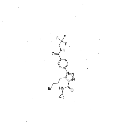 O=C(NCC(F)(F)F)c1ccc(-n2nnc(C(=O)NC3CC3)c2CCCBr)cc1